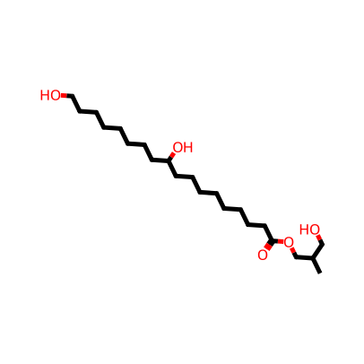 CC(CO)COC(=O)CCCCCCCCC(O)CCCCCCCCO